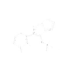 CC(C)(C)Nc1c(-c2cccc(Cl)c2Cl)nc2sccn12